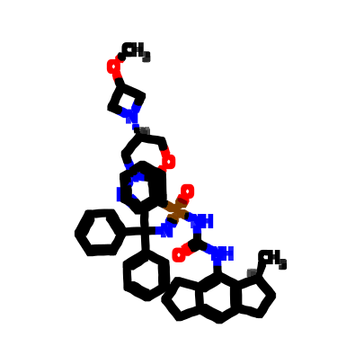 COC1CN([C@@H]2COc3c(S(=O)(=NC(c4ccccc4)(c4ccccc4)c4ccccc4)NC(=O)Nc4c5c(cc6c4[C@@H](C)CC6)CCC5)cnn3C2)C1